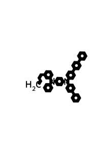 C=C/C=C\c1cccc(N(c2ccccc2)c2ccc(N(c3ccc(-c4ccccc4)cc3)c3ccc(-c4ccc(-c5ccccc5)cc4)cc3)cc2)c1